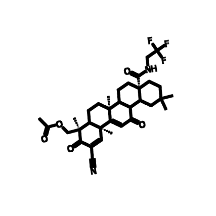 CC(=O)OC[C@]1(C)C(=O)C(C#N)=C[C@]2(C)C3=CC(=O)C4C5CC(C)(C)CC[C@]5(C(=O)NCC(F)(F)F)CCC4[C@]3(C)CCC21